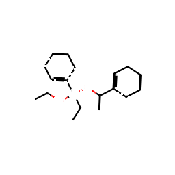 CCO[Si](CC)(OC(C)C1=CCCCC1)C1=CCCCC1